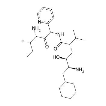 CC[C@H](C)[C@H](N)C(=O)C(NC(=O)[C@@H](C[C@H](O)[C@@H](N)CC1CCCCC1)C(C)C)c1ccccn1